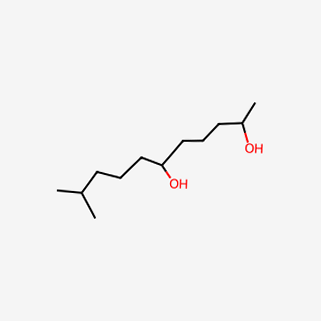 CC(C)CCCC(O)CCCC(C)O